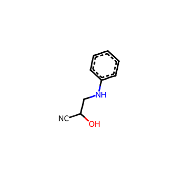 N#CC(O)CNc1ccccc1